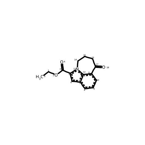 CCOC(=O)c1cc2cccc3c2n1CCCC3=O